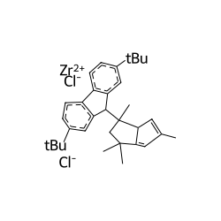 CC1=CC2C(=C1)C(C)(C)CC2(C)C1c2cc(C(C)(C)C)ccc2-c2ccc(C(C)(C)C)cc21.[Cl-].[Cl-].[Zr+2]